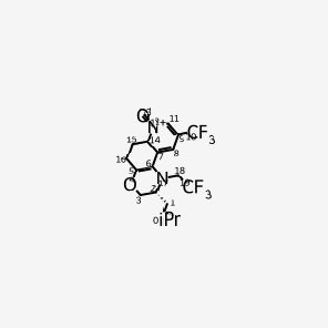 CC(C)C[C@@H]1COC2=C(C3=CC(C(F)(F)F)=C[N+](=O)C3CC2)N1CC(F)(F)F